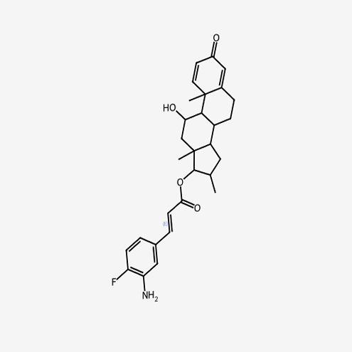 CC1CC2C3CCC4=CC(=O)C=CC4(C)C3C(O)CC2(C)C1OC(=O)/C=C/c1ccc(F)c(N)c1